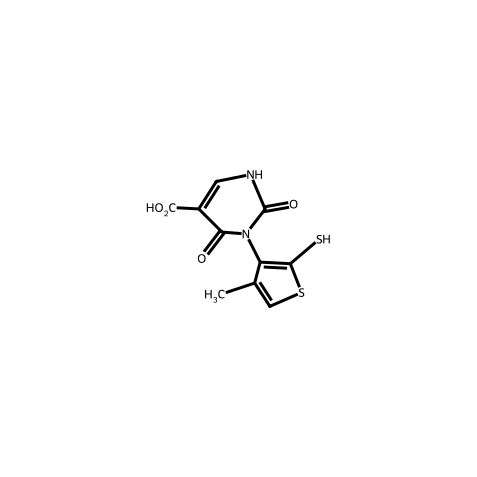 Cc1csc(S)c1-n1c(=O)[nH]cc(C(=O)O)c1=O